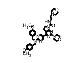 COc1ccc(CN(Cc2ccc(OC)cc2)c2ncc(-c3nc(N4CCOCC4)nc4c3CCN4C(=O)NCCN3CCOCC3)cn2)cc1